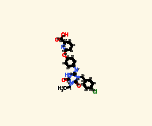 CCn1c(=O)[nH]/c(=N\c2ccc(Oc3cccc(C(=O)O)n3)cc2)n(Cc2ccc(Cl)cc2)c1=O